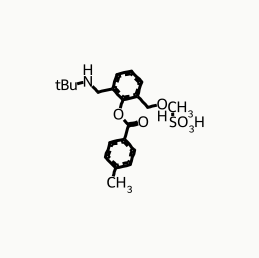 CS(=O)(=O)O.Cc1ccc(C(=O)Oc2c(CO)cccc2CNC(C)(C)C)cc1